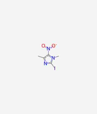 Cc1nc(I)n(C)c1[N+](=O)[O-]